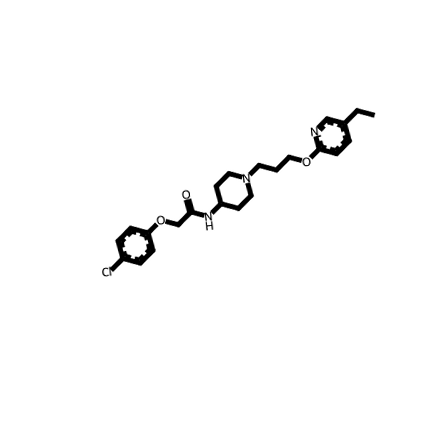 CCc1ccc(OCCCN2CCC(NC(=O)COc3ccc(Cl)cc3)CC2)nc1